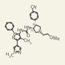 COCCN1C[C@@H](NC(=O)Nc2c(C)c(-c3cnn(C)c3)nn2-c2ccccc2)[C@H](c2ccc(C#N)cc2)C1